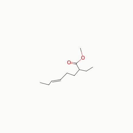 CC/C=C/CCC(CC)C(=O)OC